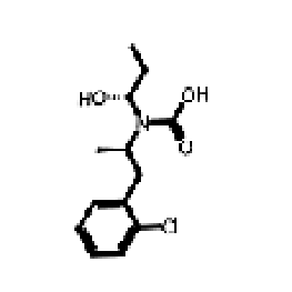 CC[C@@H](O)N(C(=O)O)[C@H](C)Cc1ccccc1Cl